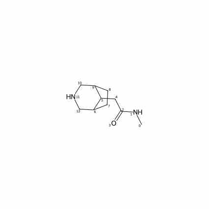 CNC(=O)CC1C2CCC1CNC2